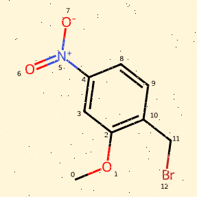 COc1cc([N+](=O)[O-])ccc1CBr